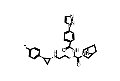 O=C(N[C@@H](CCCN[C@@H]1C[C@H]1c1ccc(F)cc1)C(=O)N1CC2CCC(C1)N2)c1ccc(-n2ccnn2)cc1